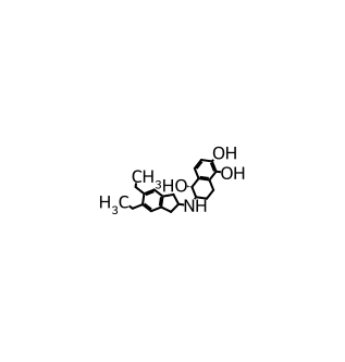 CCc1cc2c(cc1CC)CC(N[C@@H]1CCc3c(ccc(O)c3O)[C@H]1O)C2